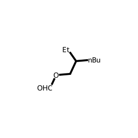 CCCCC(CC)COC=O